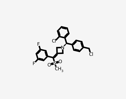 CS(=O)(=O)C(=C1CN([C@H](c2ccc(CCl)cc2)c2ccccc2Cl)C1)c1cc(F)cc(F)c1